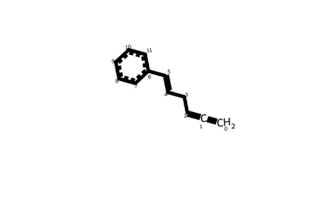 C=C=CCC=Cc1ccccc1